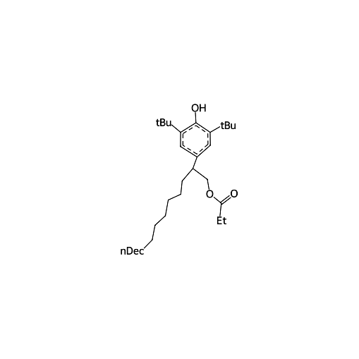 CCCCCCCCCCCCCCCCC(COC(=O)CC)c1cc(C(C)(C)C)c(O)c(C(C)(C)C)c1